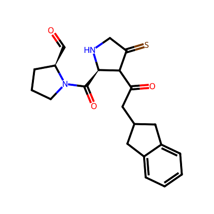 O=C[C@@H]1CCCN1C(=O)[C@H]1NCC(=S)C1C(=O)CC1Cc2ccccc2C1